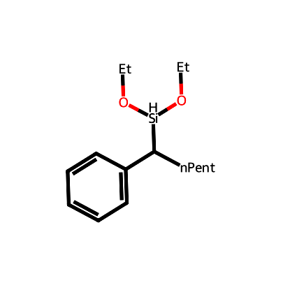 CCCCCC(c1ccccc1)[SiH](OCC)OCC